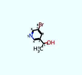 C[C@H](O)c1cncc(Br)c1